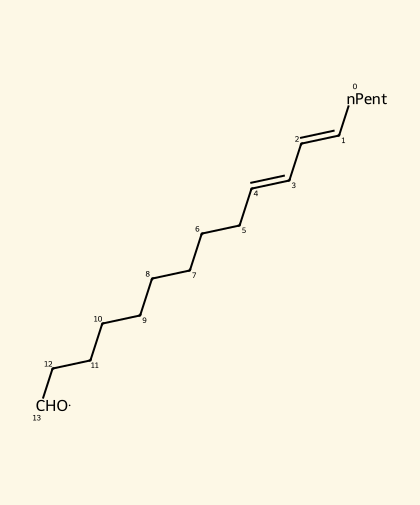 CCCCCC=CC=CCCCCCCCC[C]=O